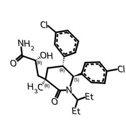 CCC(CC)N1C(=O)[C@@](C)(C[C@@H](O)C(N)=O)C[C@H](c2cccc(Cl)c2)[C@H]1c1ccc(Cl)cc1